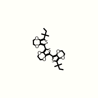 CCC(C)(C)c1sc(-c2sc(-c3sc(C(C)(C)CC)c4c3OCCO4)c3c2OCCO3)c2c1OCCO2